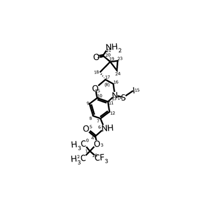 CC(C)(OC(=O)Nc1ccc2c(c1)N(SI)C[C@@H](CC1(C(N)=O)CC1)O2)C(F)(F)F